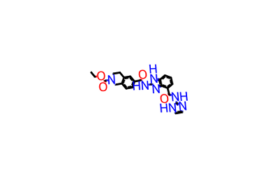 CCOC(=O)N1CCc2cc(C(=O)Nc3nc4c(C(=O)Nc5ncc[nH]5)cccc4[nH]3)ccc2C1